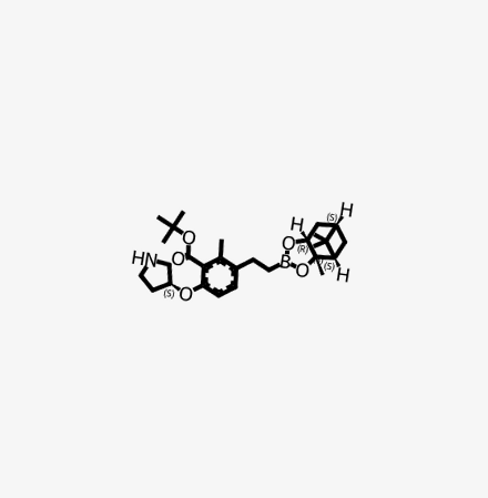 Cc1c(CCB2O[C@@H]3C[C@@H]4C[C@@H](C4(C)C)[C@]3(C)O2)ccc(O[C@H]2CCNC2)c1C(=O)OC(C)(C)C